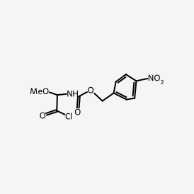 COC(NC(=O)OCc1ccc([N+](=O)[O-])cc1)C(=O)Cl